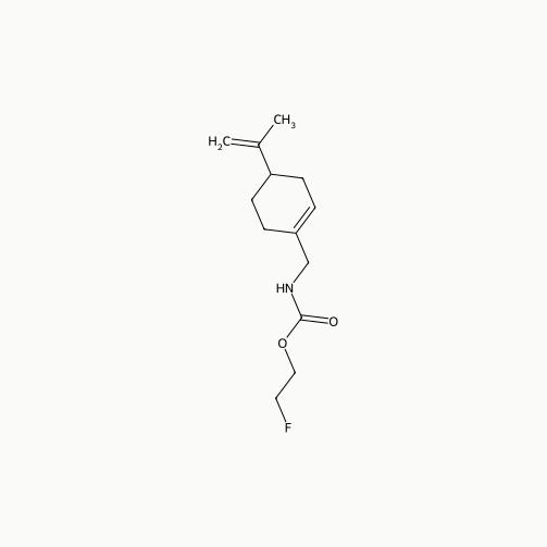 C=C(C)C1CC=C(CNC(=O)OCCF)CC1